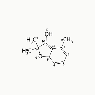 CC1=CC=CC2OC(C)(C)C(O)=C12